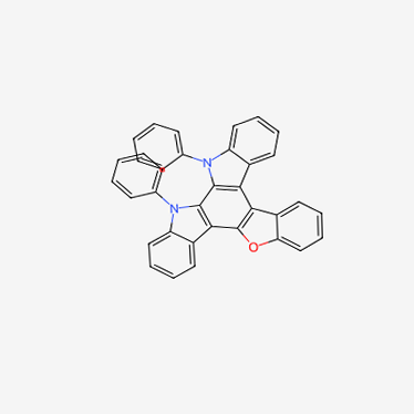 c1ccc(-n2c3ccccc3c3c4oc5ccccc5c4c4c5ccccc5n(-c5ccccc5)c4c32)cc1